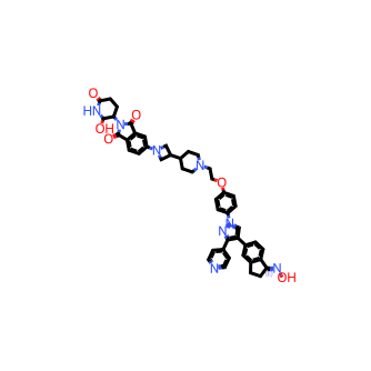 O=C1CCC(N2C(=O)c3ccc(N4CC(C5CCN(CCOc6ccc(-n7cc(-c8ccc9c(c8)CC/C9=N\O)c(-c8ccncc8)n7)cc6)CC5)C4)cc3C2=O)C(O)N1